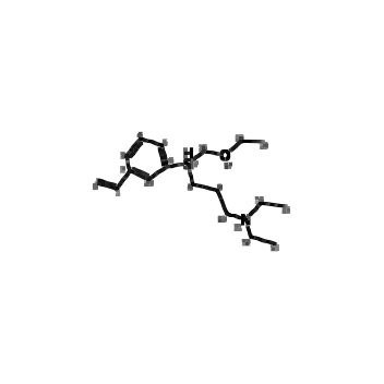 C=Cc1cccc([SiH](CCCN(CC)CC)COCC)c1